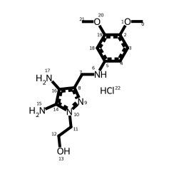 COc1ccc(NCc2nn(CCO)c(N)c2N)cc1OC.Cl